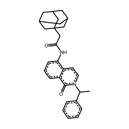 CC(c1ccccc1)n1ccc2c(NC(=O)CC34CC5CC(CC(C5)C3)C4)cccc2c1=O